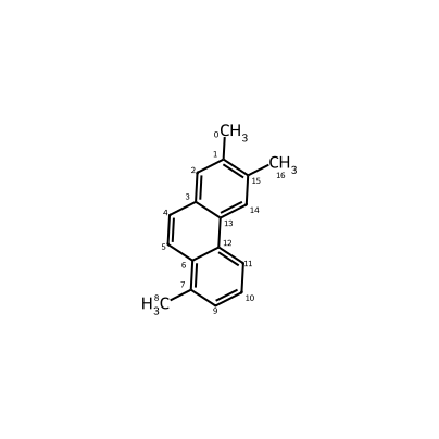 Cc1cc2ccc3c(C)cccc3c2cc1C